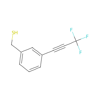 FC(F)(F)C#Cc1cccc(CS)c1